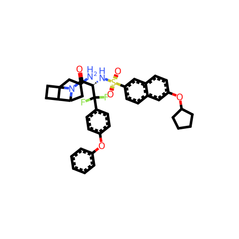 NC1CC2C3CCC3(C1)N2C(=O)[C@H](NS(=O)(=O)c1ccc2cc(OC3CCCC3)ccc2c1)C(F)(F)c1ccc(Oc2ccccc2)cc1